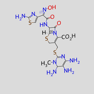 CN1C(SCC2=C(C(=O)O)N3C(=O)C(NC(=O)/C(=N\O)c4csc(N)n4)[C@@H]3SC2)=NC(N)=C(N)C1N